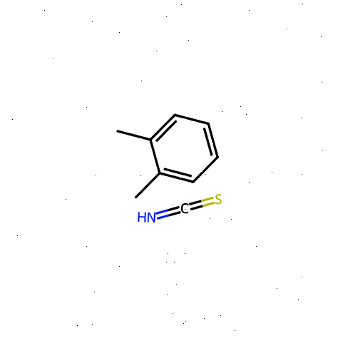 Cc1ccccc1C.N=C=S